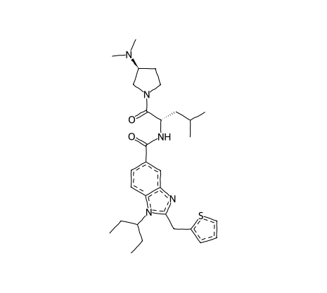 CCC(CC)n1c(Cc2cccs2)nc2cc(C(=O)N[C@@H](CC(C)C)C(=O)N3CC[C@H](N(C)C)C3)ccc21